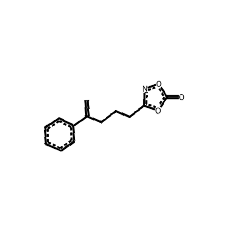 C=C(CCCc1noc(=O)o1)c1ccccc1